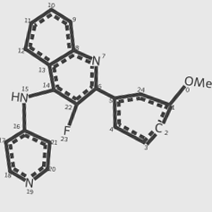 COc1cccc(-c2nc3ccccc3c(Nc3ccncc3)c2F)c1